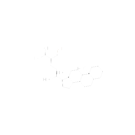 CC(C)C(CS)CCC(C)C1CCC2C3CCC4CCCCC4(C)C3CCC12C